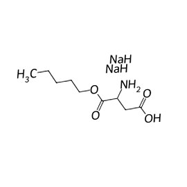 CCCCCOC(=O)C(N)CC(=O)O.[NaH].[NaH]